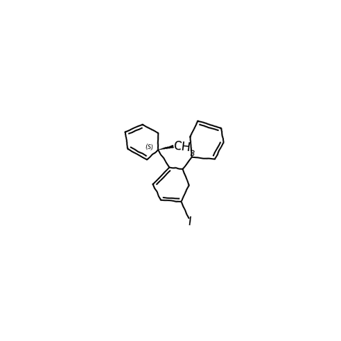 C[C@@]1(C2=CC=C(I)CC2C2C=CC=CC2)C=CC=CC1